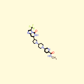 CNC(=O)c1ccc(N2CCC(N3CCC(c4cc5ncc(C(F)(F)F)n5c(=O)[nH]4)C3)CC2)cn1